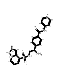 NC(CNS(=O)(=O)C1=CC=CN2SNC=C12)c1ccc(C(=O)Nc2ccncc2)cc1